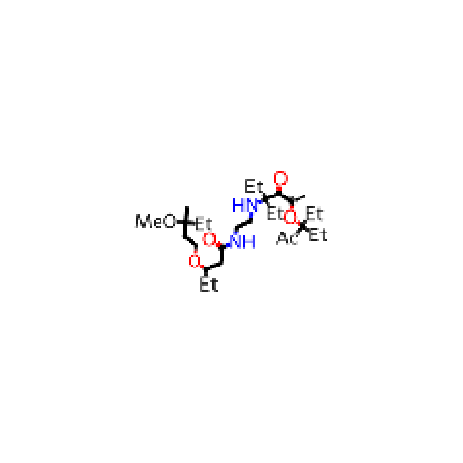 CCC(CC(=O)NCCNC(CC)(CC)C(=O)[C@@H](C)OC(CC)(CC)C(C)=O)OCCC(C)(CC)OC